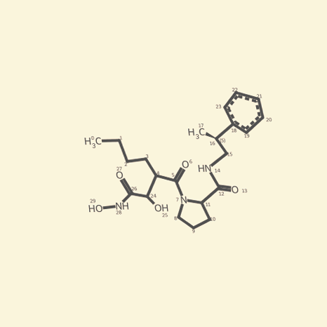 CCCCC(C(=O)N1CCCC1C(=O)NC[C@@H](C)c1ccccc1)C(O)C(=O)NO